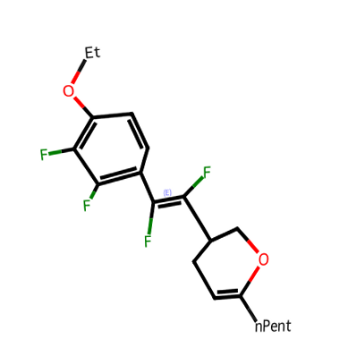 CCCCCC1=CCC(/C(F)=C(\F)c2ccc(OCC)c(F)c2F)CO1